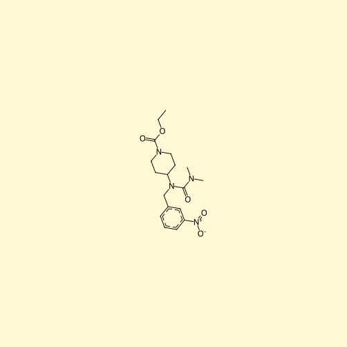 CCOC(=O)N1CCC(N(Cc2cccc([N+](=O)[O-])c2)C(=O)N(C)C)CC1